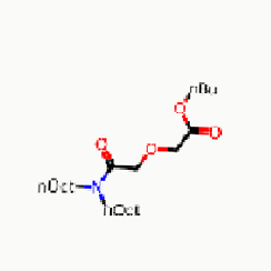 CCCCCCCCN(CCCCCCCC)C(=O)COCC(=O)OCCCC